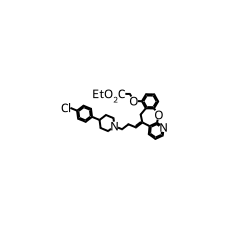 CCOC(=O)COc1cccc2c1CC(=CCCN1CCC(c3ccc(Cl)cc3)CC1)c1cccnc1O2